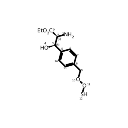 CCOC(=O)[C@@H](N)[C@H](O)c1ccc(COOS)cc1